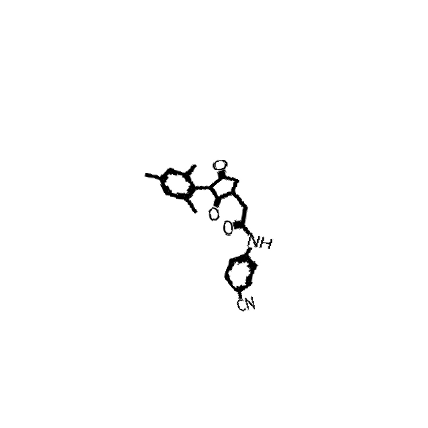 Cc1cc(C)c(C2C(=O)CC(CC(=O)Nc3ccc(C#N)cc3)C2=O)c(C)c1